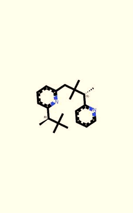 C[C@H](c1ccccn1)C(C)(C)Cc1cccc([C@H](C)C(C)(C)C)n1